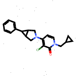 O=c1c(Cl)c(N2CC3C(C2)C3c2ccccc2)ccn1CC1CC1